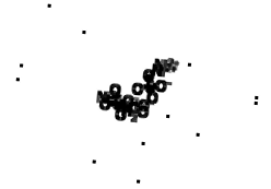 O.O=S(=O)([O-])[O-].O=S(=O)([O-])[O-].[Ni+2].[Ni+2].[Ni+2].[OH-].[OH-]